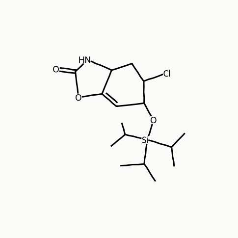 CC(C)[Si](OC1C=C2OC(=O)NC2CC1Cl)(C(C)C)C(C)C